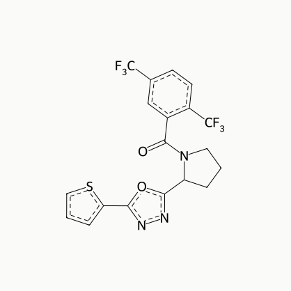 O=C(c1cc(C(F)(F)F)ccc1C(F)(F)F)N1CCCC1c1nnc(-c2cccs2)o1